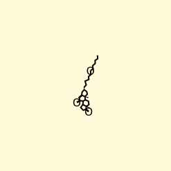 CCCCCCOCCCCCC[C@H]1CC[C@@]2(C)C(=CC(=O)C3C2CC[C@]2(C)C(=O)CCC32)C1